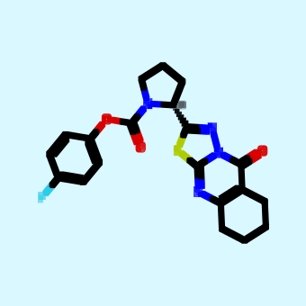 O=C(Oc1ccc(F)cc1)N1CCC[C@@H]1c1nn2c(=O)c3c(nc2s1)CCCC3